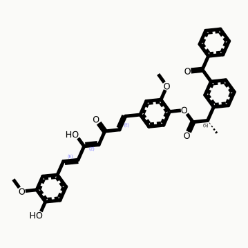 COc1cc(/C=C/C(O)=C/C(=O)/C=C/c2ccc(OC(=O)[C@@H](C)c3cccc(C(=O)c4ccccc4)c3)c(OC)c2)ccc1O